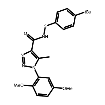 COc1ccc(OC)c(-n2nnc(C(=O)NSc3ccc(C(C)(C)C)cc3)c2C)c1